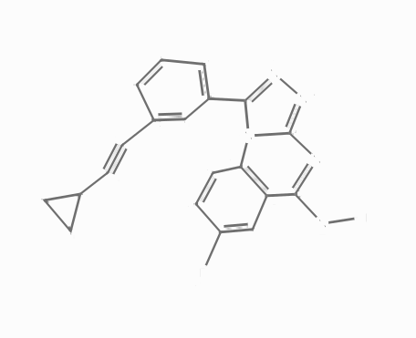 CNc1nc2nnc(-c3cccc(C#CC4CC4)c3)n2c2ccc(F)cc12